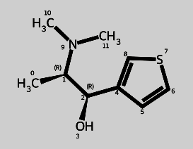 C[C@H]([C@H](O)c1ccsc1)N(C)C